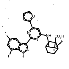 O=C(O)[C@@H]1C2CCC(CC2)C1Nc1cc(-c2ccco2)nc(-c2n[nH]c3c(F)cc(F)cc23)n1